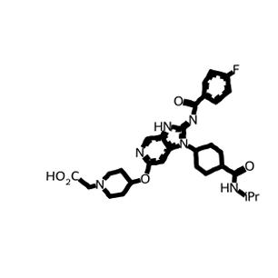 CC(C)NC(=O)C1CCC(n2/c(=N/C(=O)c3ccc(F)cc3)[nH]c3cnc(OC4CCN(CC(=O)O)CC4)cc32)CC1